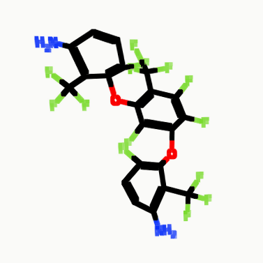 Nc1ccc(F)c(Oc2c(F)c(F)c(C(F)(F)F)c(Oc3c(F)ccc(N)c3C(F)(F)F)c2F)c1C(F)(F)F